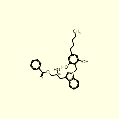 CCCCCc1cc(O)c(Cn2cc(C[C@H](O)COC(=O)c3ccccc3)c3ccccc32)c(O)c1